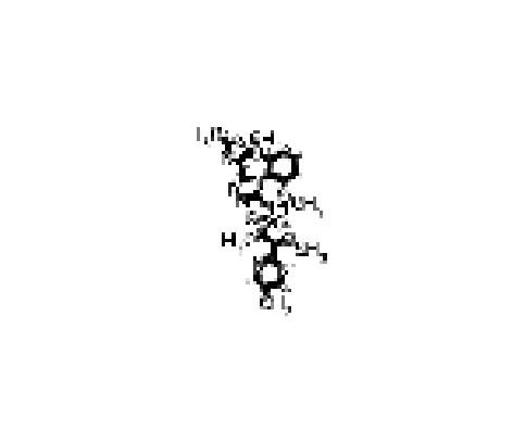 COc1cccc(OC)c1-n1c(NS(=O)(=O)C(C)C(OC)c2ncc(C)cn2)nnc1-c1csc(C)n1